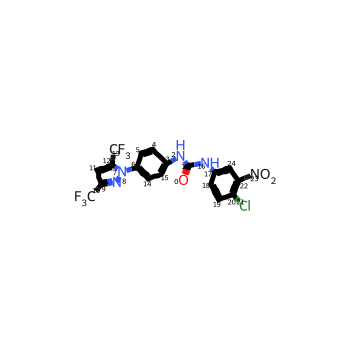 O=C(Nc1ccc(-n2nc(C(F)(F)F)cc2C(F)(F)F)cc1)Nc1ccc(Cl)c([N+](=O)[O-])c1